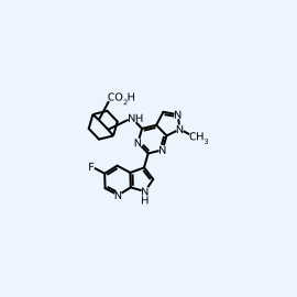 Cn1ncc2c(NC3C4CCC(CC4)C3C(=O)O)nc(-c3c[nH]c4ncc(F)cc34)nc21